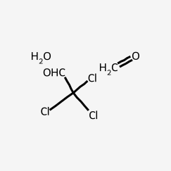 C=O.O.O=CC(Cl)(Cl)Cl